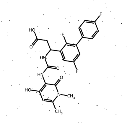 Cc1cc(O)c(NC(=O)NC(CC(=O)O)c2cc(F)cc(-c3ccc(F)cc3)c2F)c(=O)n1C